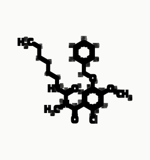 CCCCCCNC(=O)N(C)C(=O)c1cc(OCc2ccccc2)c(OC)cc1Cl